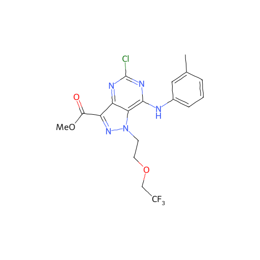 COC(=O)c1nn(CCOCC(F)(F)F)c2c(Nc3cccc(C)c3)nc(Cl)nc12